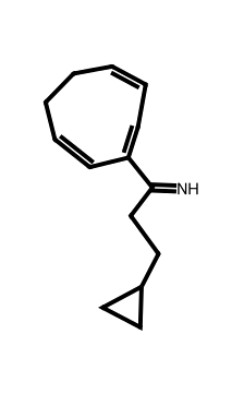 N=C(CCC1CC1)C1=C/C=C\CC/C=C\1